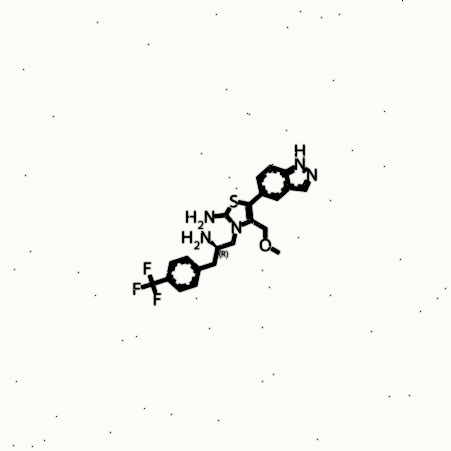 COCC1=C(c2ccc3[nH]ncc3c2)SC(N)N1C[C@H](N)Cc1ccc(C(F)(F)F)cc1